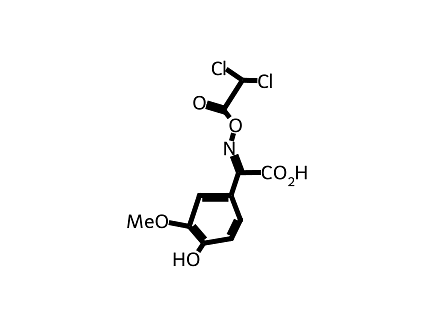 COc1cc(C(=NOC(=O)C(Cl)Cl)C(=O)O)ccc1O